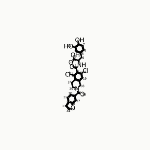 O=C(NC(Cc1ccc(O)c(O)c1)C(=O)O)c1c(Cl)cc2c(c1Cl)CCN(C(=O)c1ccc3ccoc3c1)C2